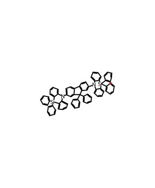 c1ccc(C2(c3ccccc3)c3cc(N4c5ccccc5[Si](c5ccccc5)(c5ccccc5)c5ccccc54)ccc3-c3ccc(N4c5ccccc5[Si](c5ccccc5)(c5ccccc5)c5ccccc54)cc32)cc1